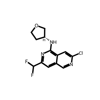 FC(F)c1cc2cnc(Cl)cc2c(N[C@@H]2CCOC2)n1